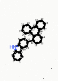 c1ccc2c(c1)[nH]c1ccc(-c3cccc4c5ccccc5c5ccccc5c34)cc12